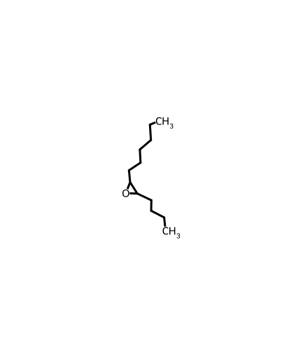 CCCCCCC1OC1CCCC